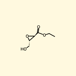 CCOC(=O)[C@@H]1O[C@H]1CO